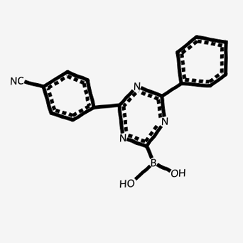 N#Cc1ccc(-c2nc(B(O)O)nc(-c3ccccc3)n2)cc1